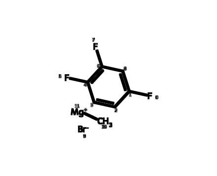 Fc1ccc(F)c(F)c1.[Br-].[CH3][Mg+]